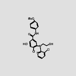 CC(C)COc1ccc(NC(=O)c2ccc(Cl)c(N(CCO)c3ncccc3Cl)c2)cc1.Cl